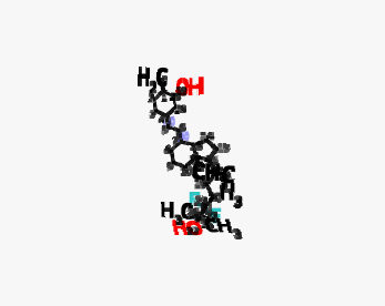 C=C1CC/C(=C/C=C2\CCCC3(C)C2CCC3C(C)CCC(F)(F)C(C)(C)O)CC1O